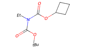 CCN(C(=O)OC1CCC1)C(=O)OC(C)(C)C